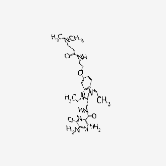 CCn1c(CNC(=O)c2nc(Cl)c(N)nc2N)[n+](CC)c2ccc(OCCNC(=O)CCN(C)C)cc21